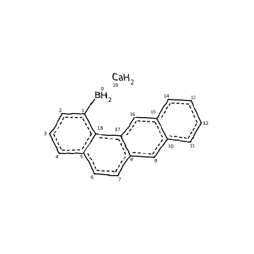 Bc1cccc2ccc3cc4ccccc4cc3c12.[CaH2]